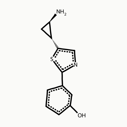 N[C@@H]1C[C@H]1c1cnc(-c2cccc(O)c2)s1